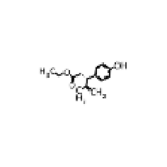 C=C(C)[C@H](CC(=O)OCC)c1ccc(O)cc1